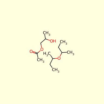 CC(=O)OCC(C)O.CCC(C)OC(C)CC